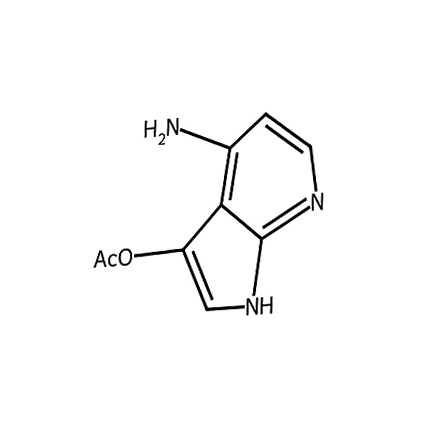 CC(=O)Oc1c[nH]c2nccc(N)c12